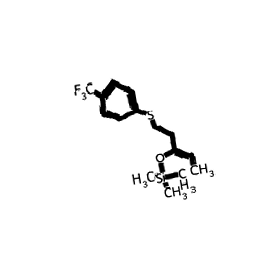 CC=C(CCSc1ccc(C(F)(F)F)cc1)O[Si](C)(C)C